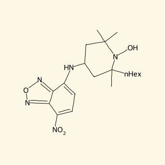 CCCCCCC1(C)CC(Nc2ccc([N+](=O)[O-])c3nonc23)CC(C)(C)N1O